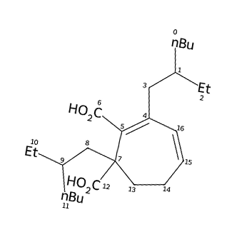 CCCCC(CC)CC1=C(C(=O)O)C(CC(CC)CCCC)(C(=O)O)CCC=C1